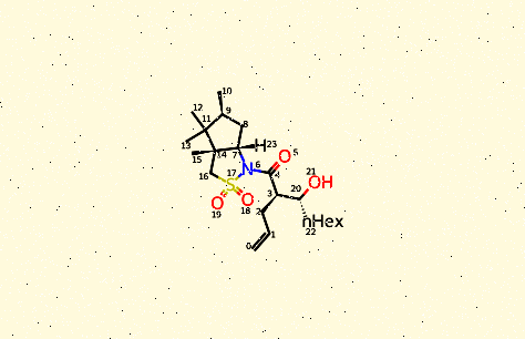 C=CC[C@@H](C(=O)N1[C@H]2C[C@H](C)C(C)(C)[C@@]2(C)CS1(=O)=O)[C@H](O)CCCCCC